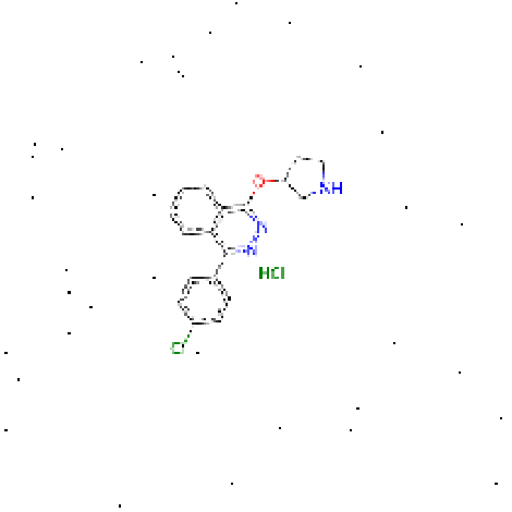 Cl.Clc1ccc(-c2nnc(OC3CCNC3)c3ccccc23)cc1